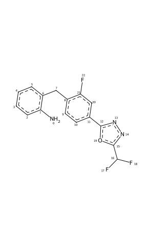 Nc1ccccc1Cc1ccc(-c2nnc(C(F)F)o2)cc1F